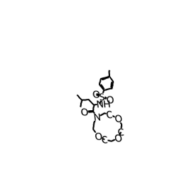 Cc1ccc(S(=O)(=O)NC(CC(C)C)C(=O)N2CCOCCOCCOCC2)cc1